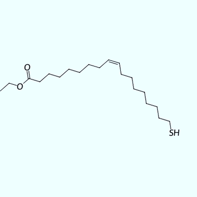 CCOC(=O)CCCCCCC/C=C\CCCCCCCCS